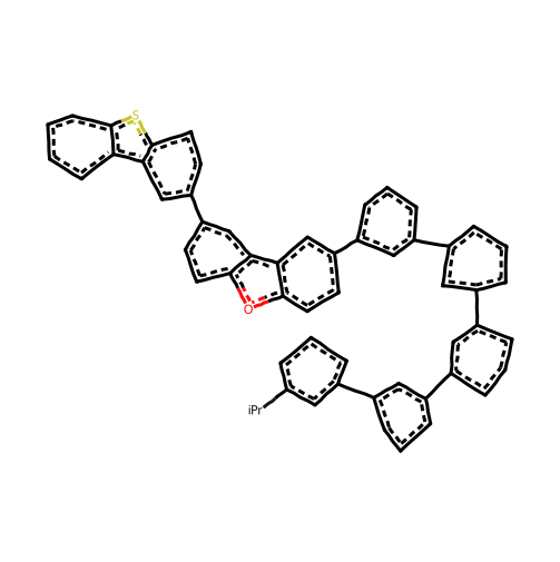 CC(C)c1cccc(-c2cccc(-c3cccc(-c4cccc(-c5cccc(-c6ccc7oc8ccc(-c9ccc%10sc%11ccccc%11c%10c9)cc8c7c6)c5)c4)c3)c2)c1